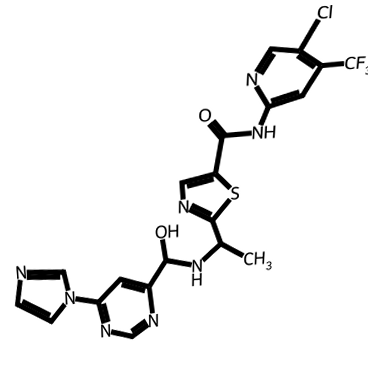 CC(NC(O)c1cc(-n2ccnc2)ncn1)c1ncc(C(=O)Nc2cc(C(F)(F)F)c(Cl)cn2)s1